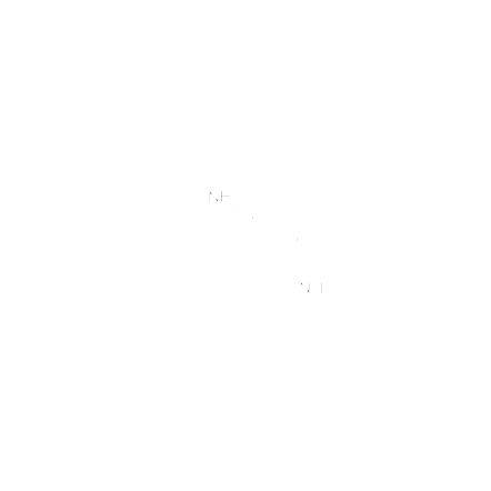 NC(=O)CC(=O)c1ccccc1N